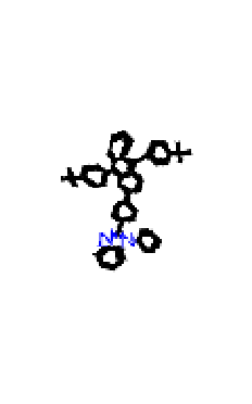 CC(C)(C)c1ccc(-c2c3ccccc3c(-c3ccc(C(C)(C)C)cc3)c3cc(-c4ccc(-c5nc6ccccc6n5-c5ccccc5)cc4)ccc23)cc1